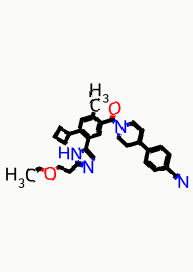 CCOCCc1ncc(-c2cc(C(=O)N3CCC(c4ccc(C#N)cc4)CC3)c(C)cc2C2CCC2)[nH]1